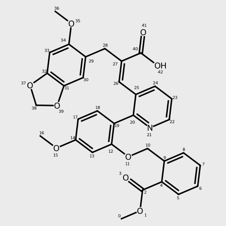 COC(=O)c1ccccc1COc1cc(OC)ccc1-c1ncccc1C=C(Cc1cc2c(cc1OC)OCO2)C(=O)O